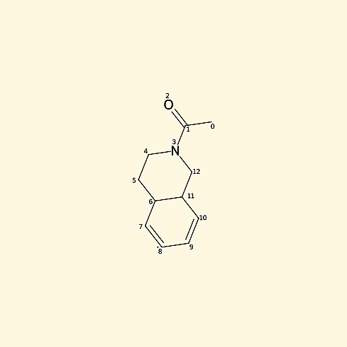 CC(=O)N1CCC2C=[C]C=CC2C1